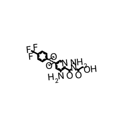 Nc1cc(S(=O)(=O)c2ccc(C(F)(F)F)cc2)cnc1C(=O)N(N)C(=O)CO